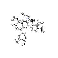 COc1ccc(C(=O)N2CCN(/C(=N\C#N)Nc3cccc4c3ccc[n+]4[O-])CC2c2ccccc2)cc1OC